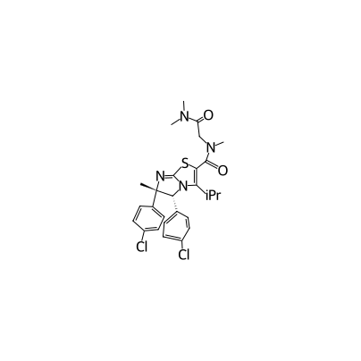 CC(C)C1=C(C(=O)N(C)CC(=O)N(C)C)SC2=N[C@@](C)(c3ccc(Cl)cc3)[C@@H](c3ccc(Cl)cc3)N21